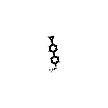 FC(F)(F)Oc1ccc(-c2c[c]c(C3CC3)cc2)cc1